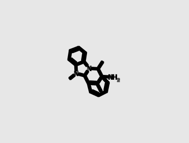 CC1=C2C=CC=CC1(N)C(C)N1c3ccccc3N(C)C21